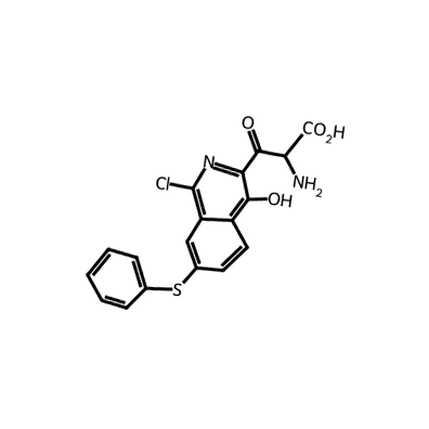 NC(C(=O)O)C(=O)c1nc(Cl)c2cc(Sc3ccccc3)ccc2c1O